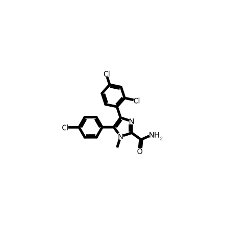 Cn1c(C(N)=O)nc(-c2ccc(Cl)cc2Cl)c1-c1ccc(Cl)cc1